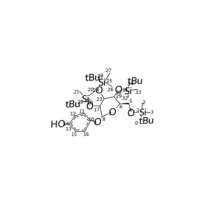 CC(C)(C)[Si](C)(C)OC[C@H]1OC(Oc2ccc(O)cc2)C(O[Si](C)(C)C(C)(C)C)C(O[Si](C)(C)C(C)(C)C)C1O[Si](C)(C)C(C)(C)C